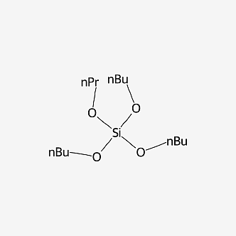 CCCCO[Si](OCCC)(OCCCC)OCCCC